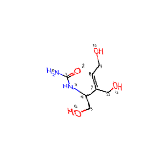 NC(=O)NC(CO)C(=CCO)CO